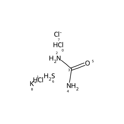 Cl.Cl.NC(N)=O.S.[Cl-].[K+]